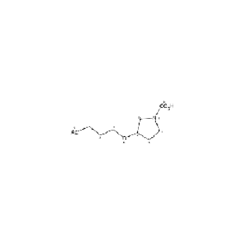 CC(=O)CCCOC1CCN(C(=O)O)C1